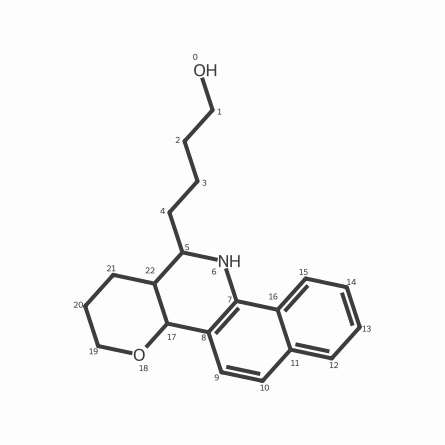 OCCCCC1Nc2c(ccc3ccccc23)C2OCCCC12